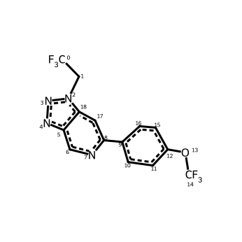 FC(F)(F)Cn1nnc2cnc(-c3ccc(OC(F)(F)F)cc3)cc21